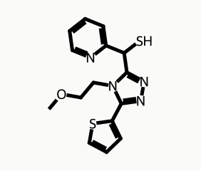 COCCn1c(-c2cccs2)nnc1C(S)c1ccccn1